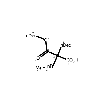 CCCCCCCCCCOC(=O)C(CCC)(CCCCCCCCCC)C(=O)O.[MgH2]